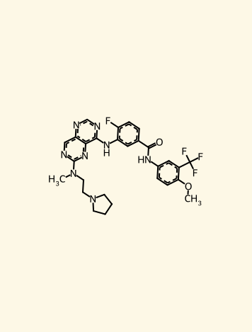 COc1ccc(NC(=O)c2ccc(F)c(Nc3ncnc4cnc(N(C)CCN5CCCC5)nc34)c2)cc1C(F)(F)F